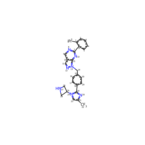 CC(C)c1ccccc1-c1ncc2cnn(Cc3ccc(-c4nc(C(F)(F)F)cn4C4CNC4)cc3)c2n1